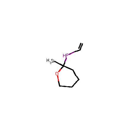 C=CPC1([SiH3])CCCCO1